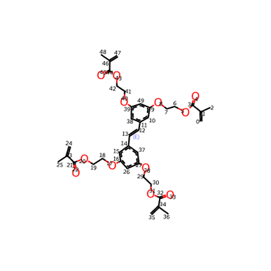 C=C(C)C(=O)OCCOc1cc(/C=C/c2cc(OCCOC(=O)C(=C)C)cc(OCCOC(=O)C(=C)C)c2)cc(OCCOC(=O)C(=C)C)c1